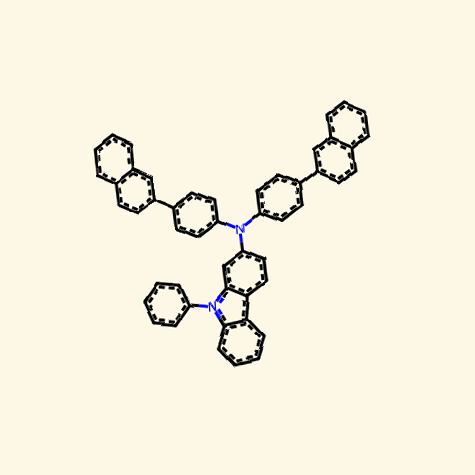 c1ccc(-n2c3ccccc3c3ccc(N(c4ccc(-c5ccc6ccccc6c5)cc4)c4ccc(-c5ccc6ccccc6c5)cc4)cc32)cc1